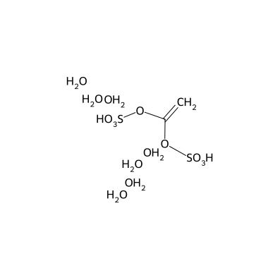 C=C(OS(=O)(=O)O)OS(=O)(=O)O.O.O.O.O.O.O.O